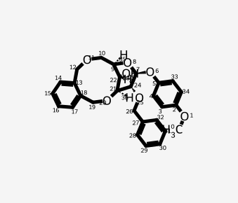 COc1ccc(O[C@@H]2O[C@@H]3COCc4ccccc4CO[C@@H]([C@H]3O)[C@H]2OCc2ccccc2)cc1